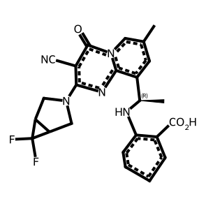 Cc1cc([C@@H](C)Nc2ccccc2C(=O)O)c2nc(N3CC4C(C3)C4(F)F)c(C#N)c(=O)n2c1